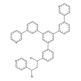 CCC(CC(CC)c1cccc(-c2cc(-c3cccc(-c4cccnc4)c3)cc(-c3cccc(-c4cccnc4)c3)c2)c1)c1ccncc1